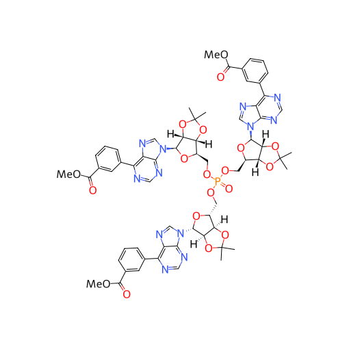 COC(=O)c1cccc(-c2ncnc3c2ncn3[C@@H]2O[C@H](COP(=O)(OC[C@H]3O[C@@H](n4cnc5c(-c6cccc(C(=O)OC)c6)ncnc54)[C@@H]4OC(C)(C)O[C@@H]43)OC[C@H]3O[C@@H](n4cnc5c(-c6cccc(C(=O)OC)c6)ncnc54)[C@@H]4OC(C)(C)O[C@@H]43)[C@H]3OC(C)(C)O[C@H]32)c1